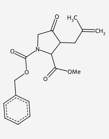 C=C(C)CC1C(=O)CN(C(=O)OCc2ccccc2)C1C(=O)OC